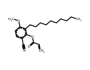 C=CC(=O)Oc1c(C#N)ccc(OC)c1CCCCCCCCCC